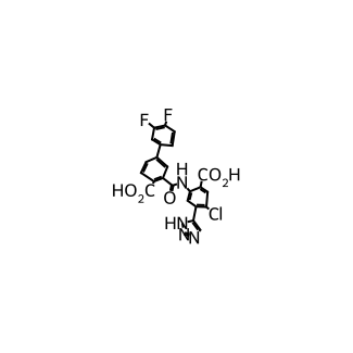 O=C(O)c1cc(Cl)c(-c2cnn[nH]2)cc1NC(=O)c1cc(-c2ccc(F)c(F)c2)ccc1C(=O)O